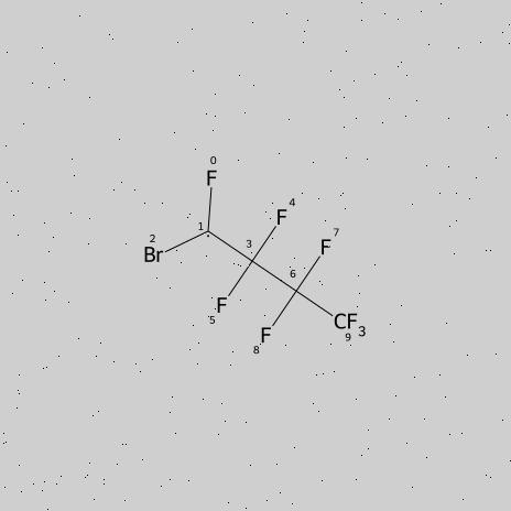 F[C](Br)C(F)(F)C(F)(F)C(F)(F)F